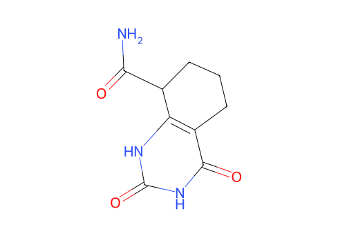 NC(=O)C1CCCc2c1[nH]c(=O)[nH]c2=O